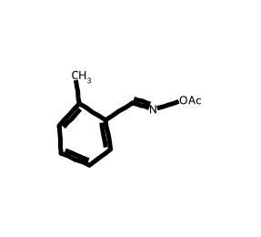 CC(=O)ON=Cc1ccccc1C